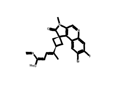 C=N/C(=C\C=C(/C)[C@H]1C[C@@]2(C1)C(=O)N(C)c1cnc3cc(F)c(Br)cc3c12)OC